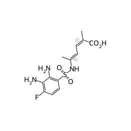 C/C(=C/C=C(\C)NS(=O)(=O)c1ccc(F)c(N)c1N)C(=O)O